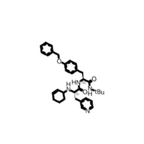 CC(C)(C)NC(=O)[C@H](Cc1ccc(OCc2ccccc2)cc1)NC(=O)[C@H](Cc1cccnc1)NC1C=CCCC1